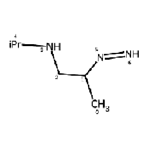 CC(CNC(C)C)N=N